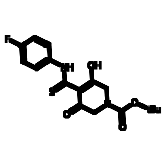 CC(C)(C)OC(=O)N1CC(=O)C(C(=S)Nc2ccc(F)cc2)=C(O)C1